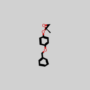 C[C@]1(Oc2ccc(OCc3ccccc3)cc2)CO1